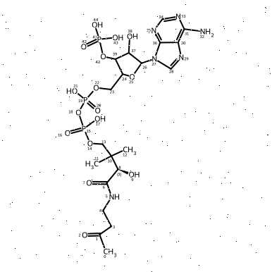 CC(=O)CCNC(=O)[C@H](O)C(C)(C)COP(=O)(O)OP(=O)(O)OCC1OC(n2cnc3c(N)ncnc32)C(O)C1OP(=O)(O)O